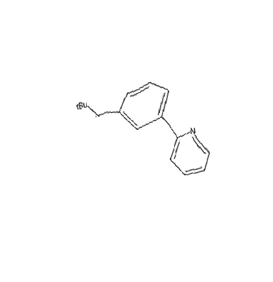 CC(C)(C)[CH]c1cccc(-c2ccccn2)c1